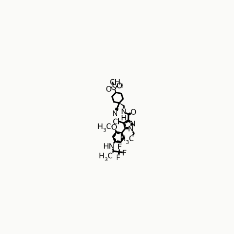 CCn1nc(C(=O)NC[C@]2(C#N)CC[C@H](S(C)(=O)=O)CC2)c(Cl)c1-c1ccc(NC(C)C(F)(F)F)cc1OC